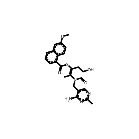 COc1ccc2c(C(=O)SC(CCO)=C(C)N(C=O)Cc3cnc(C)nc3N)cccc2c1